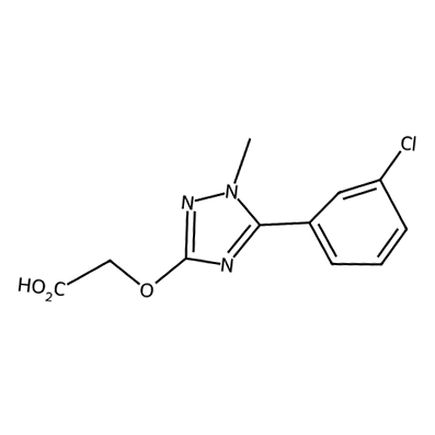 Cn1nc(OCC(=O)O)nc1-c1cccc(Cl)c1